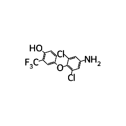 Nc1cc(Cl)c(Oc2ccc(O)c(C(F)(F)F)c2)c(Cl)c1